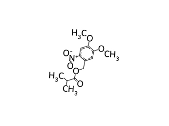 COc1cc(COC(=O)C(C)C)c([N+](=O)[O-])cc1OC